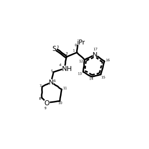 CC(C)C(C(=S)NCN1CCOCC1)c1ccccn1